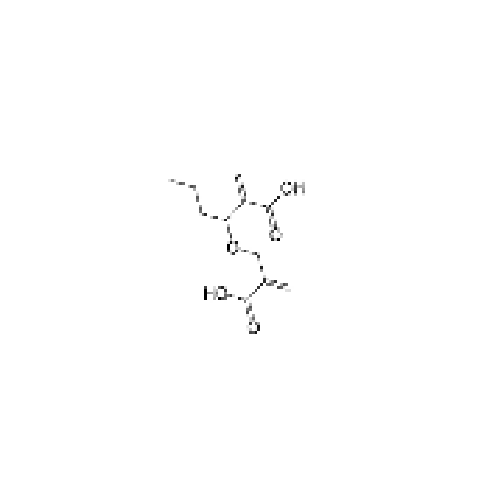 C=C(COC(CCC)C(=C)C(=O)O)C(=O)O